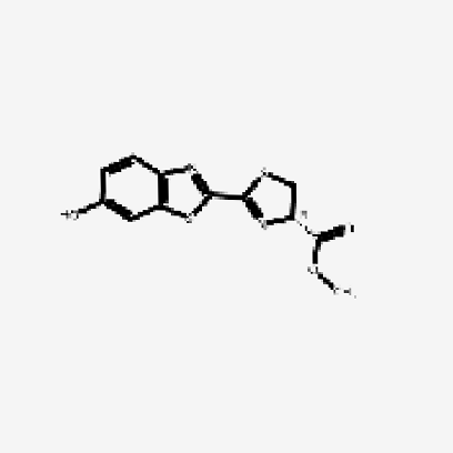 COC(=O)[C@H]1CSC(c2nc3ccc(O)cc3s2)=N1